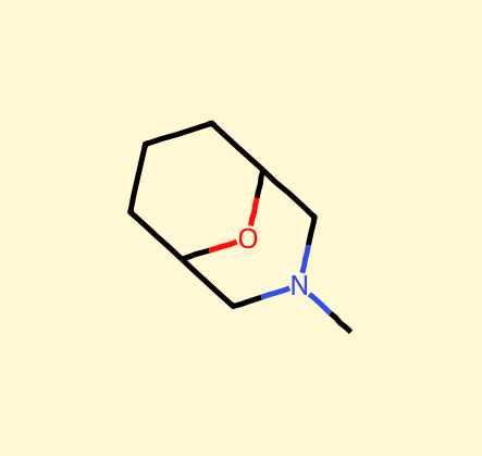 CN1CC2CCCC(C1)O2